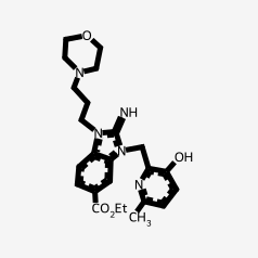 CCOC(=O)c1ccc2c(c1)n(Cc1nc(C)ccc1O)c(=N)n2CCCN1CCOCC1